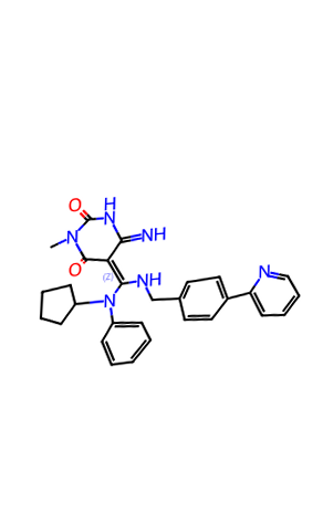 CN1C(=O)NC(=N)/C(=C(\NCc2ccc(-c3ccccn3)cc2)N(c2ccccc2)C2CCCC2)C1=O